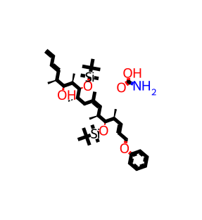 C=CC=C[C@H](C)[C@H](O)[C@@H](C)[C@H](O[Si](C)(C)C(C)(C)C)[C@@H](C)CC(C)=C[C@H](C)[C@@H](O[Si](C)(C)C(C)(C)C)[C@@H](C)C=CCOc1ccccc1.NC(=O)O